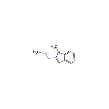 COCc1cc2ccccc2n1C